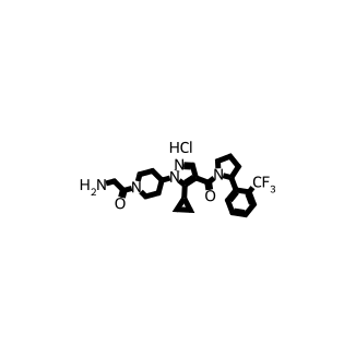 Cl.NCC(=O)N1CCC(n2ncc(C(=O)N3CCCC3c3ccccc3C(F)(F)F)c2C2CC2)CC1